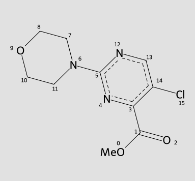 COC(=O)c1nc(N2CCOCC2)ncc1Cl